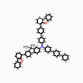 CC1(C)c2cc(-c3cccc4c3oc3ccccc34)ccc2-c2ccc(N(c3ccc(-c4ccc(C5=C6Oc7ccccc7C6CC=C5)cc4)cc3)c3ccc(-c4ccc(-c5ccccc5)cc4)cc3)cc21